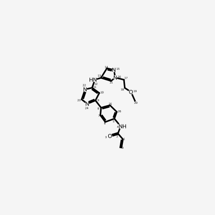 C=CC(=O)Nc1ccc(-c2cc(Nc3cnn(CCOC)c3)ncn2)cc1